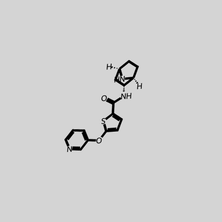 O=C(N[C@@H]1C[C@H]2CC[C@@H]1N2)c1ccc(Oc2cccnc2)s1